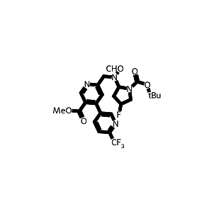 COC(=O)c1cnc(CN(C=O)C2CC(F)CN2C(=O)OC(C)(C)C)cc1-c1ccc(C(F)(F)F)nc1